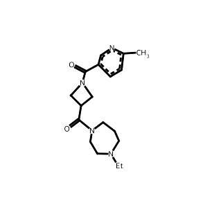 CCN1CCCN(C(=O)C2CN(C(=O)c3ccc(C)nc3)C2)CC1